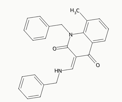 Cc1cccc2c1N(Cc1ccccc1)C(=O)C(=CNCc1ccccc1)C2=O